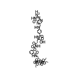 CCOP(=O)(OCC)OCC(CNC(=O)c1ccccc1OC(=O)NC(=O)CC[C@@H](NC(=O)c1ccc(NCc2cnc3nc(N)[nH]c(=O)c3n2)cc1)C(=O)O)OP(=O)(OCC)OCC